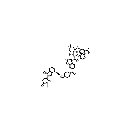 CC(C)c1cc2c(cn1)[C@]1(CN2)[C@@H](c2cccc(Cl)c2F)[C@H](C(=O)N2C[C@@H](C)Oc3cc(C(=O)N4CCC5(CC4)C[C@H]5C#Cc4cccc5c4CN([C@H]4CCC(=O)NC4=O)C5=O)ccc32)NC12CCC(C)(C)CC2